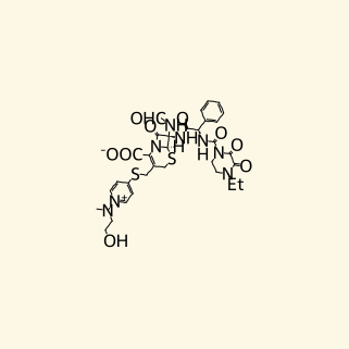 CCN1CCN(C(=O)N[C@@H](C(=O)N[C@]2(NC=O)C(=O)N3C(C(=O)[O-])=C(CSc4cc[n+](N(C)CCO)cc4)CS[C@@H]32)c2ccccc2)C(=O)C1=O